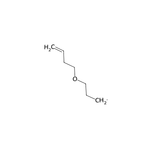 [CH2]CCOCCC=C